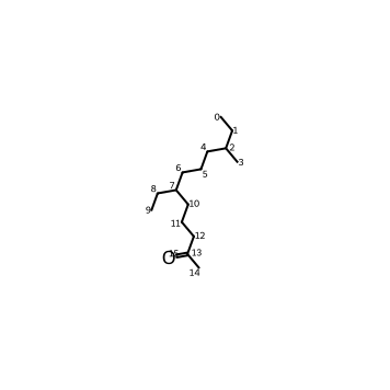 CCC(C)CCCC(CC)CCCC(C)=O